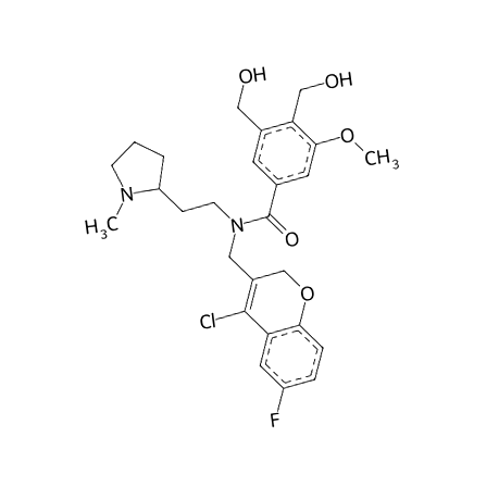 COc1cc(C(=O)N(CCC2CCCN2C)CC2=C(Cl)c3cc(F)ccc3OC2)cc(CO)c1CO